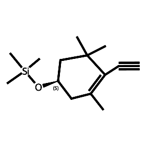 C#CC1=C(C)C[C@@H](O[Si](C)(C)C)CC1(C)C